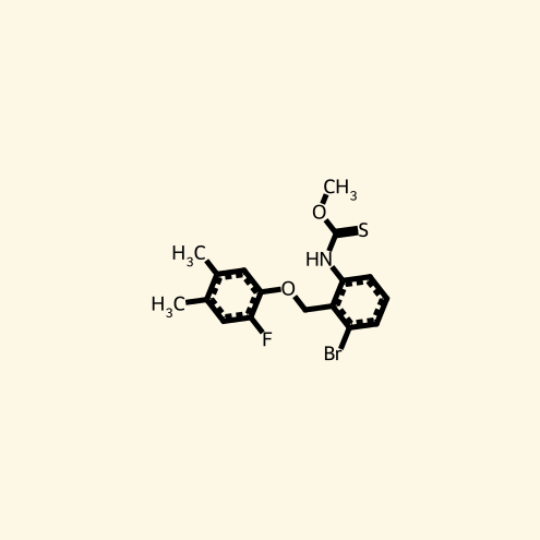 COC(=S)Nc1cccc(Br)c1COc1cc(C)c(C)cc1F